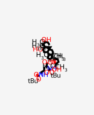 CC(C)(C)OC(=O)NCCC[C@H](NC(=O)OC(C)(C)C)C(=O)O[C@H]1C[C@@]2(C)C3C[C@H](O)[C@H]4C(C)(C)[C@@H](O)CC[C@@]45CC35CC[C@]2(C)[C@H]1[C@@]1(C)CC[C@@H](C(C)(C)O)O1